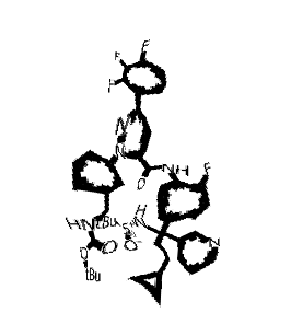 CC(C)(C)OC(=O)NCc1cccc(-n2nc(-c3ccc(F)c(F)c3F)cc2C(=O)Nc2cc(C(CCC3CC3)(N[S@+]([O-])C(C)(C)C)c3cccnc3)ccc2F)c1